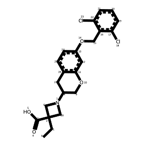 CCC1(C(=O)O)CN(C2COc3cc(OCc4c(Cl)cccc4Cl)ccc3C2)C1